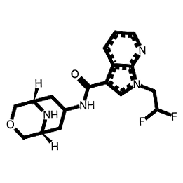 O=C(NC1C[C@H]2COC[C@@H](C1)N2)c1cn(CC(F)F)c2ncccc12